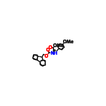 COC(=O)[C@H](Cc1ccc(OC)cc1)NC(=O)OCC1c2ccccc2-c2ccccc21